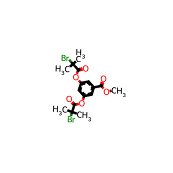 COC(=O)c1cc(OC(=O)C(C)(C)Br)cc(OC(=O)C(C)(C)Br)c1